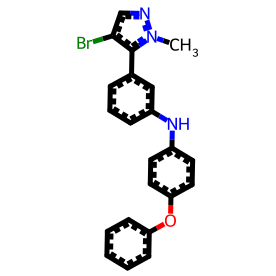 Cn1ncc(Br)c1-c1cccc(Nc2ccc(Oc3ccccc3)cc2)c1